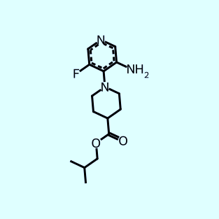 CC(C)COC(=O)C1CCN(c2c(N)cncc2F)CC1